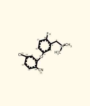 CN(C)Cc1cc(Oc2cc(Cl)ccc2C#N)ccc1F